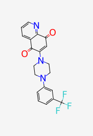 O=C1C(N2CCN(c3cccc(C(F)(F)F)c3)CC2)=CC(=O)c2ncccc21